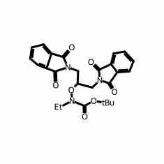 CCN(OC(CN1C(=O)c2ccccc2C1=O)CN1C(=O)c2ccccc2C1=O)C(=O)OC(C)(C)C